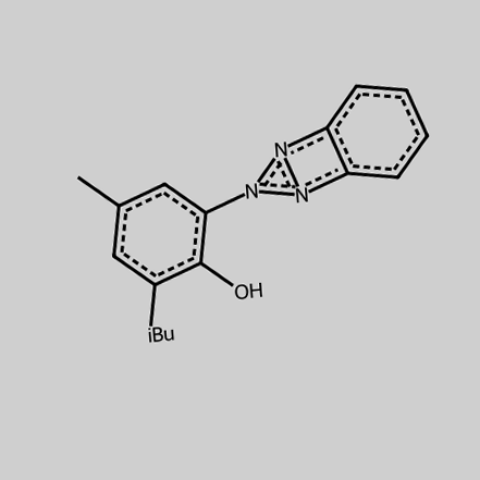 CCC(C)c1cc(C)cc(-n2n3c4ccccc4n23)c1O